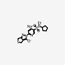 CCN(C1CCCC1)S(=O)(=O)c1ccc(-n2nc3c(c2[O-])CSC3)nc1.[Na+]